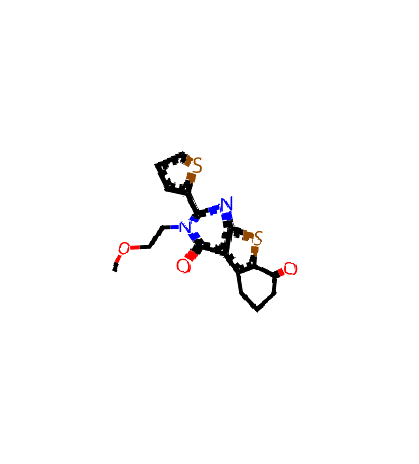 COCCn1c(-c2cccs2)nc2sc3c(c2c1=O)CCCC3=O